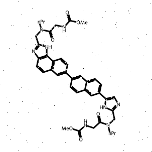 CCCN(Cc1ncc(-c2ccc3cc(-c4ccc5c(ccc6nc(CN(CCC)C(=O)CNC(=O)OC)[nH]c65)c4)ccc3c2)[nH]1)C(=O)CNC(=O)OC